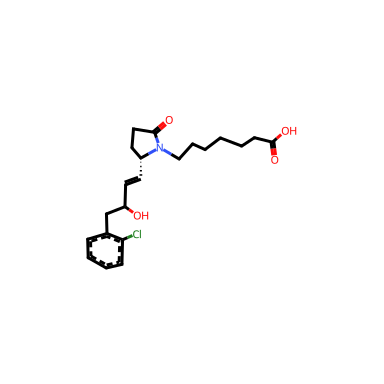 O=C(O)CCCCCCN1C(=O)CC[C@H]1/C=C/C(O)Cc1ccccc1Cl